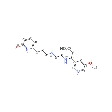 CCOc1cncc(C(CC(=O)O)NCCNCCCc2cccc(Br)n2)c1